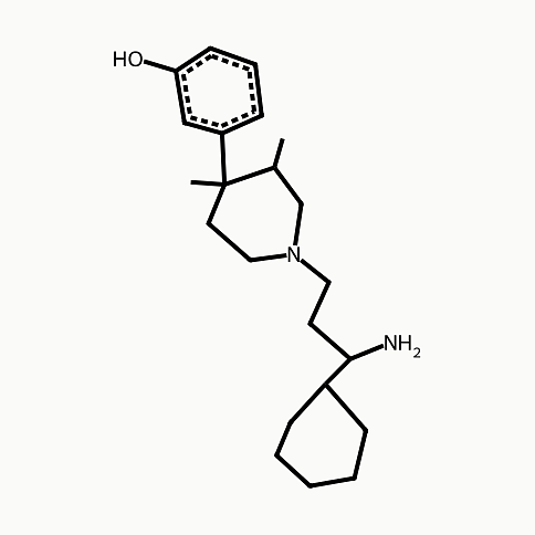 CC1CN(CCC(N)C2CCCCC2)CCC1(C)c1cccc(O)c1